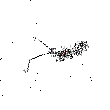 CCCCCCCC/C=C\CCCCCCCCCCCCCCCC(=O)N[C@@H](CO[C@@H]1OC(CO)[C@@H](O[C@@H]2OC(CO)[C@H](O)[C@H](O[C@@H]3OC(CO)[C@@H](O[C@@H]4OC(CO)[C@H](O)[C@H](O[C@H]5OC(CO)[C@H](O)[C@H](O[C@@H]6OC(CO)[C@H](O)[C@H](O)C6O[C@H]6OC(C)[C@@H](O)C(O)[C@@H]6O)C5NC(C)=O)C4O[C@H]4OC(C)[C@@H](O)C(O)[C@@H]4O)[C@H](O)C3NC(C)=O)C2O)[C@H](O)C1O)[C@H](O)/C=C/CCCCCCCCCCCCC